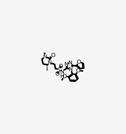 COc1cccc(OC)c1-n1c(NS(=O)(=O)CCN2C(=O)N(C)CC[C@@H]2C)nnc1-c1ccco1